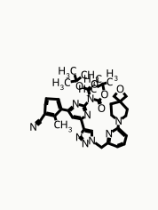 Cc1c(C#N)cccc1-c1cc(-c2cn(Cc3cccc(N4CCC5(CC4)COC5)n3)nn2)nc(N(C(=O)OC(C)(C)C)C(=O)OC(C)(C)C)n1